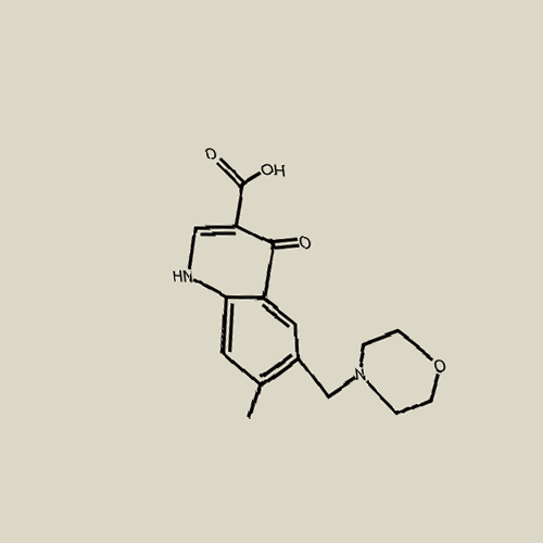 Cc1cc2[nH]cc(C(=O)O)c(=O)c2cc1CN1CCOCC1